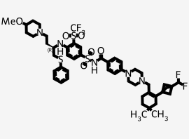 COC1CCN(CC[C@H](CSc2ccccc2)Nc2ccc(S(=O)(=O)NC(=O)c3ccc(N4CCN(CC5=C(C67CC(C(F)F)(C6)C7)CC(C)(C)CC5)CC4)cc3)cc2S(=O)(=O)C(F)(F)F)CC1